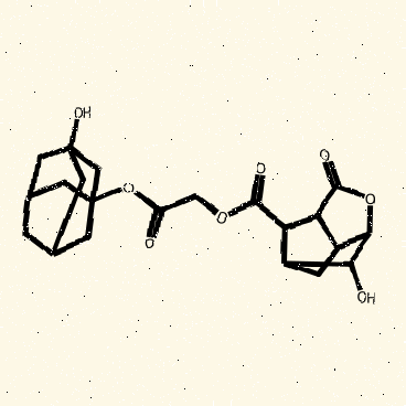 O=C(COC(=O)C1C2CC3C(OC(=O)C31)C2O)OC12CC3CC(CC(O)(C3)C1)C2